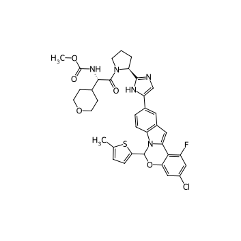 COC(=O)N[C@H](C(=O)N1CCC[C@H]1c1ncc(-c2ccc3c(c2)cc2n3C(c3ccc(C)s3)Oc3cc(Cl)cc(F)c3-2)[nH]1)C1CCOCC1